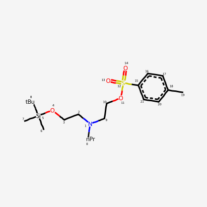 CCCN(CCO[Si](C)(C)C(C)(C)C)CCOS(=O)(=O)c1ccc(C)cc1